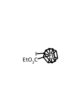 CCOC(=O)[C]12[CH]3[CH]4[CH]5[CH]1[Fe]45321678[CH]2[CH]1[CH]6[C]7(I)[CH]28